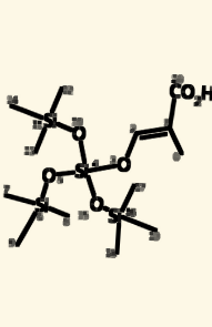 CC(=CO[Si](O[Si](C)(C)C)(O[Si](C)(C)C)O[Si](C)(C)C)C(=O)O